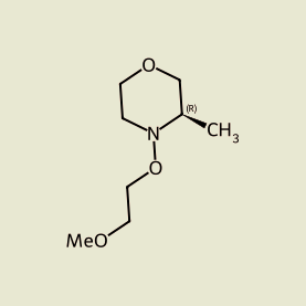 COCCON1CCOC[C@H]1C